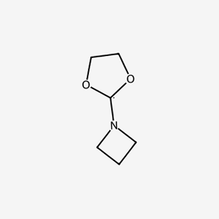 C1CN([C]2OCCO2)C1